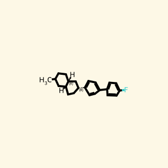 CC1CC[C@@H]2C[C@H](c3ccc(-c4ccc(F)cc4)cc3)CC[C@@H]2C1